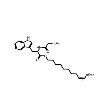 CCCCCCCC/C=C\CCCCCCCCOC(=O)C(Cc1c[nH]c2ccccc12)NC(=O)CCCCCCCCCCC